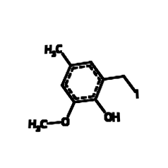 COc1cc(C)cc(CI)c1O